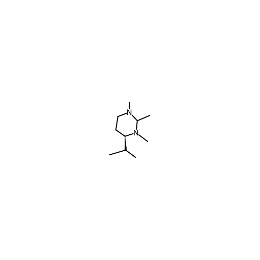 CC(C)[C@H]1CCN(C)C(C)N1C